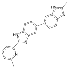 Cc1cccc(-c2nc3cc(-c4ccc5nc(C)[nH]c5c4)ccc3[nH]2)n1